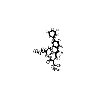 CC(C)(C)OC(=O)CNc1cc(-c2ccccc2)ccc1CCC[C@H](C(=O)ON)C(=O)OC(C)(C)C